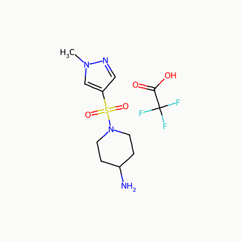 Cn1cc(S(=O)(=O)N2CCC(N)CC2)cn1.O=C(O)C(F)(F)F